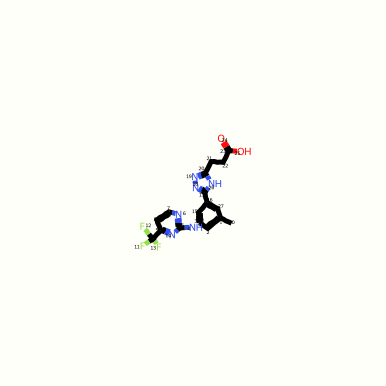 Cc1cc(Nc2nccc(C(F)(F)F)n2)cc(-c2nnc(CCC(=O)O)[nH]2)c1